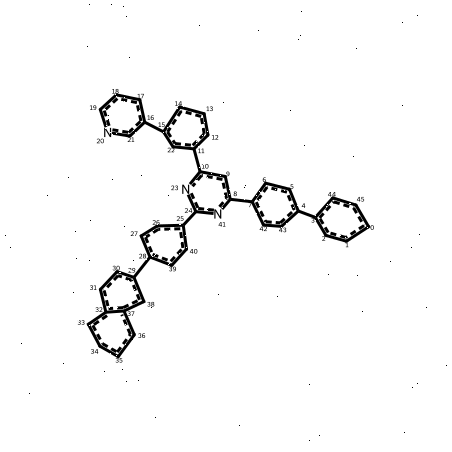 c1ccc(-c2ccc(-c3cc(-c4cccc(-c5cccnc5)c4)nc(-c4ccc(-c5ccc6ccccc6c5)cc4)n3)cc2)cc1